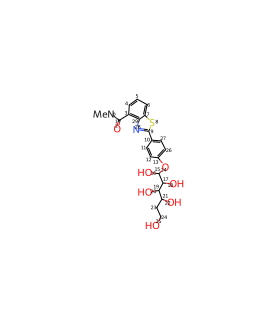 CNC(=O)c1cccc2sc(-c3ccc(OC(O)C(O)C(O)C(O)CCO)cc3)nc12